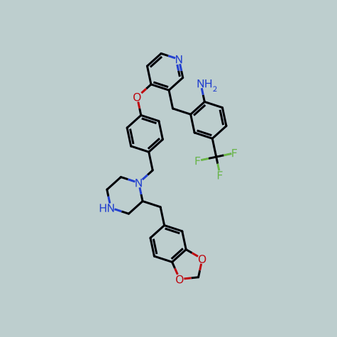 Nc1ccc(C(F)(F)F)cc1Cc1cnccc1Oc1ccc(CN2CCNCC2Cc2ccc3c(c2)OCO3)cc1